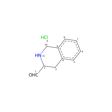 Cl.O=CC1Cc2ccccc2CN1